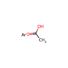 CC(=O)O.[Ar]